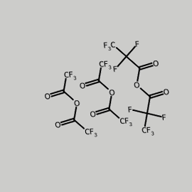 O=C(OC(=O)C(F)(F)C(F)(F)F)C(F)(F)C(F)(F)F.O=C(OC(=O)C(F)(F)F)C(F)(F)F.O=C(OC(=O)C(F)(F)F)C(F)(F)F